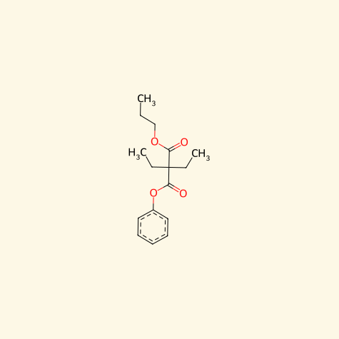 CCCOC(=O)C(CC)(CC)C(=O)Oc1ccccc1